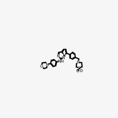 O=S1(=O)CCN(Cc2ccc(-c3ccc4cnc(Nc5ccc(N6CCOCC6)cc5)nn34)cc2)CC1